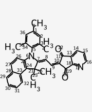 Cc1cc(C)c(N2/C(=C/C=C3\C(=O)c4cccnc4C3=O)C(C)(C)c3c2ccc2ccccc32)c(C)c1